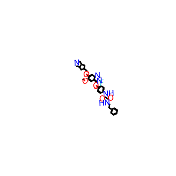 COc1cc2c(Oc3ccc(NC(=O)C(=O)NCCc4ccccc4)cc3F)ncnc2cc1OCC1CC2CN(C)CC2C1